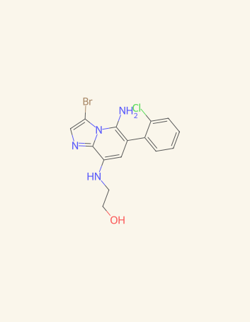 Nc1c(-c2ccccc2Cl)cc(NCCO)c2ncc(Br)n12